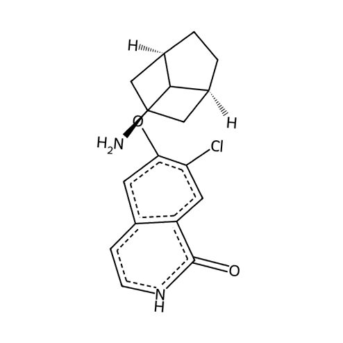 N[C@H]1C[C@H]2CC[C@@H](C1)C2Oc1cc2cc[nH]c(=O)c2cc1Cl